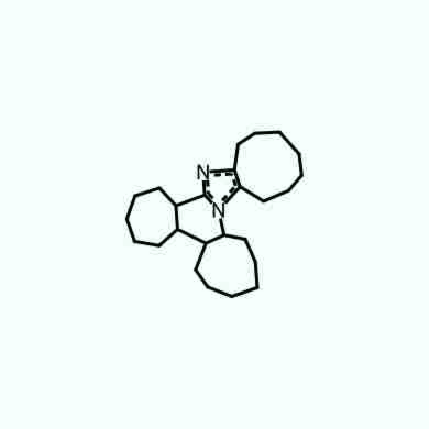 C1CCCc2nc3n(c2CCC1)C1CCCCCCC1C1CCCCCC31